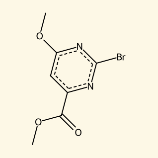 COC(=O)c1cc(OC)nc(Br)n1